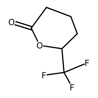 O=C1CCCC(C(F)(F)F)O1